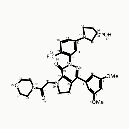 COc1cc(OC)cc(-c2nn(-c3cc(N4CC[C@H](O)C4)ccc3C(F)(F)F)c(=O)c3c2CCN3CC(=O)N2CCOCC2)c1